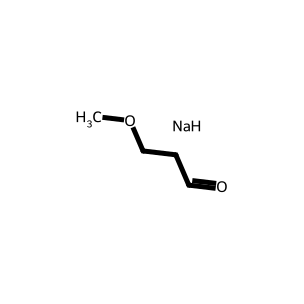 COCCC=O.[NaH]